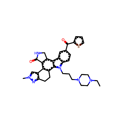 CCN1CCN(CCCn2c3ccc(C(=O)c4cccs4)cc3c3c4c(c5c(c32)CCc2nn(C)cc2-5)C(=O)NC4)CC1